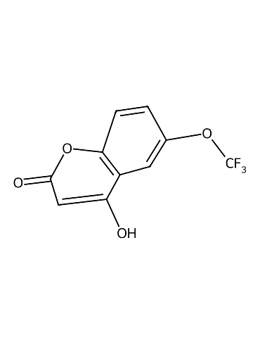 O=c1cc(O)c2cc(OC(F)(F)F)ccc2o1